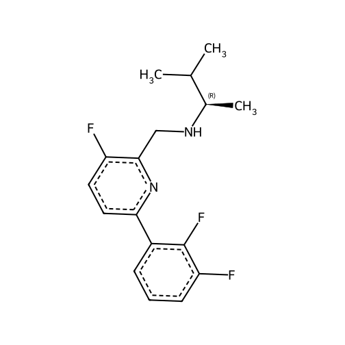 CC(C)[C@@H](C)NCc1nc(-c2cccc(F)c2F)ccc1F